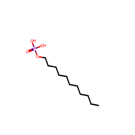 CCCCCCCCCCCOP(=O)(O)O